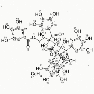 O=C(OCC(O)C(O)(C(=O)c1cc(O)c(O)c(O)c1)C(O)(C(=O)c1cc(O)c(O)c(O)c1)C(O)(C(=O)C(=O)c1cc(O)c(O)c(O)c1)C(=O)c1cc(O)c(O)c(O)c1)c1cc(O)c(O)c(O)c1.[GeH4]